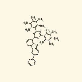 Bc1c(B)c(B)c(-c2nc(-c3c(B)c(B)c(B)c(B)c3B)nc(-c3cccc4c3oc3ccc(-c5ccccc5)cc34)n2)c(B)c1B